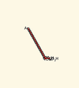 CCCCCCCCCCCC(CCCCCCCCCCC(=O)O)(C(=O)O)C(=O)NCCOCCOCCOCCOCCOCCOCCOCCOCCOCCOCCOCCOCCOCCOCCOCCOCCOCCOCCOCCOCCOCCOCCOCCOCCC(C)=O